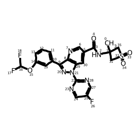 CC1(NC(=O)c2cnc3c(-c4cccc(OC(F)F)c4)nn(-c4ncc(F)cn4)c3c2)CS(=O)(=O)C1